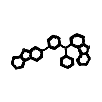 c1ccc(N(c2cccc(-c3ccc4c(c3)oc3ccccc34)c2)c2cccc3oc4ccccc4c23)cc1